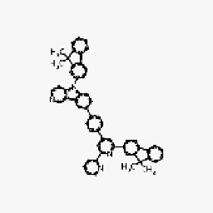 CC1(C)c2ccccc2-c2ccc(-c3cc(-c4ccc(-c5ccc6c(c5)c5cnccc5n6-c5ccc6c(c5)C(C)(C)c5ccccc5-6)cc4)cc(-c4ccccn4)n3)cc21